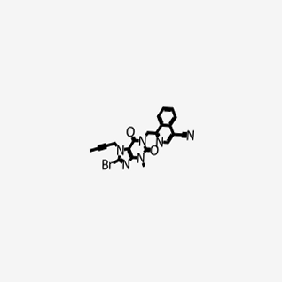 CC#CCn1c(Br)nc2c1c(=O)n(Cc1ncc(C#N)c3ccccc13)c(=O)n2C